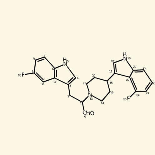 O=CC(Cc1c[nH]c2ccc(F)cc12)N1CCC(c2c[nH]c3cccc(F)c23)CC1